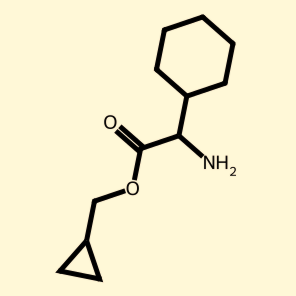 NC(C(=O)OCC1CC1)C1CCCCC1